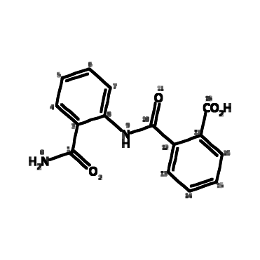 NC(=O)c1ccccc1NC(=O)c1ccccc1C(=O)O